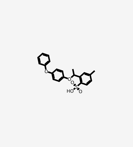 Cc1ccc(S(=O)(=O)O)c(C(C)Oc2ccc(Oc3ccccc3)cc2)c1